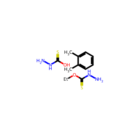 CCOC(=S)NN.Cc1ccccc1C.NNC(O)=S